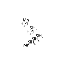 [Mn].[Mn].[SiH4].[SiH4].[SiH4].[SiH4].[SiH4].[SiH4]